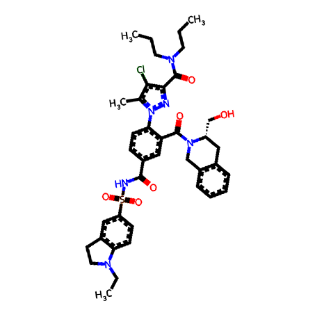 CCCN(CCC)C(=O)c1nn(-c2ccc(C(=O)NS(=O)(=O)c3ccc4c(c3)CCN4CC)cc2C(=O)N2Cc3ccccc3C[C@H]2CO)c(C)c1Cl